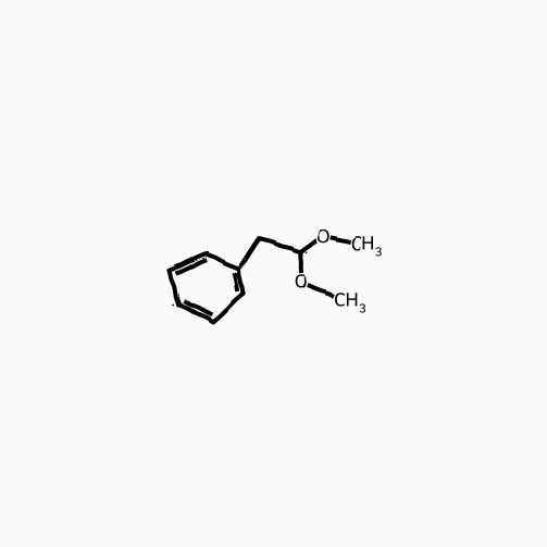 CO[C](Cc1cc[c]cc1)OC